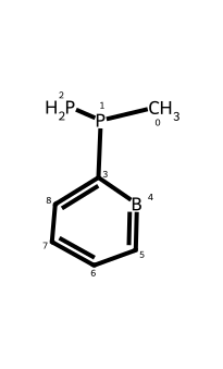 CP(P)c1bcccc1